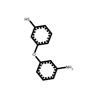 Nc1cccc(Oc2cccc(S)c2)c1